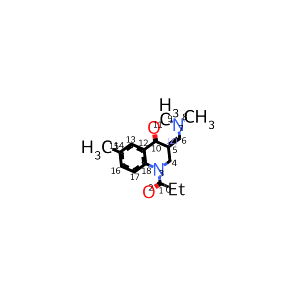 CCC(=O)N1C/C(=C/N(C)C)C(=O)c2cc(C)ccc21